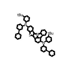 CC(C)(C)c1cccc(N(c2cccc(-c3ccccc3)c2)c2ccc3c(c2)sc2c4ccc(N(c5cccc(-c6ccccc6)c5)c5cccc(C(C)(C)C)c5)c5c6ccccc6n(c32)c45)c1